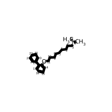 CN(C)CCCCCCCCCOc1ccccc1-c1ccccc1